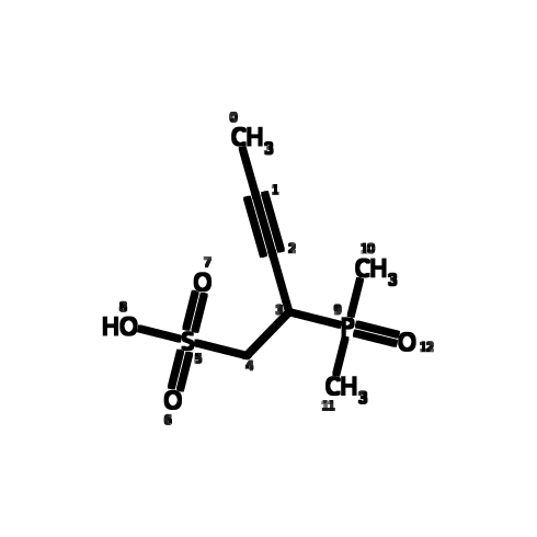 CC#CC(CS(=O)(=O)O)P(C)(C)=O